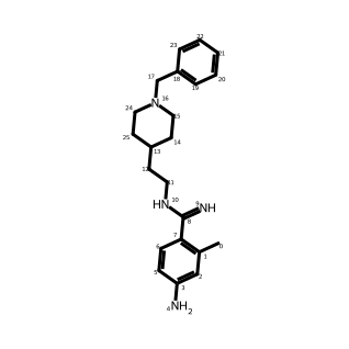 Cc1cc(N)ccc1C(=N)NCCC1CCN(Cc2ccccc2)CC1